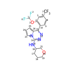 FC(F)Oc1cc(C(F)(F)F)ccc1-c1nnc(NC2CCCOC2)n2cccc12